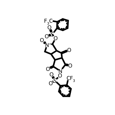 O=C1C2C(=O)N(OS(=O)(=O)c3ccccc3C(F)(F)F)C(=O)C2C2C[N+](=O)C(OS(=O)(=O)c3ccccc3C(F)(F)F)C12